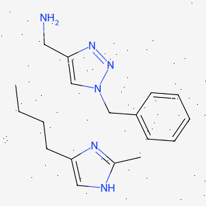 CCCCc1c[nH]c(C)n1.NCc1cn(Cc2ccccc2)nn1